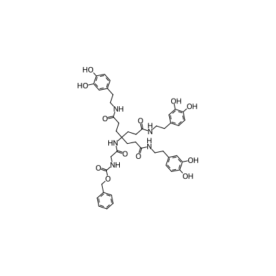 O=C(CCC(CCC(=O)NCCc1ccc(O)c(O)c1)(CCC(=O)NCCc1ccc(O)c(O)c1)NC(=O)CNC(=O)OCc1ccccc1)NCCc1ccc(O)c(O)c1